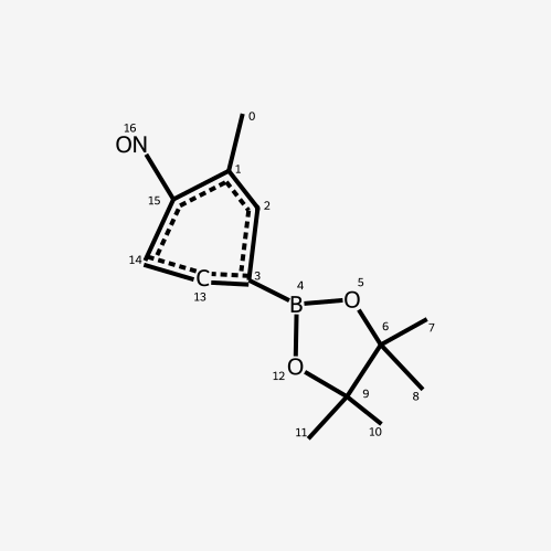 Cc1cc(B2OC(C)(C)C(C)(C)O2)ccc1N=O